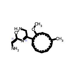 COc1ccc(C)cccccc1/C(CN)=N/C(Cl)=C\N